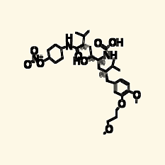 COCCCOc1cc(C[C@@H](C[C@H](NC(=O)O)[C@@H](O)C[C@H](C(=O)NC2CCC(O[N+](=O)[O-])CC2)C(C)C)C(C)C)ccc1OC